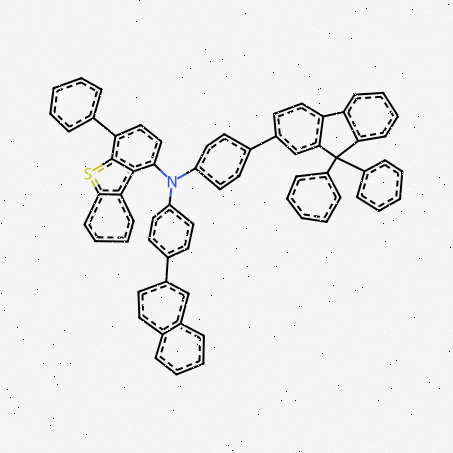 c1ccc(-c2ccc(N(c3ccc(-c4ccc5c(c4)C(c4ccccc4)(c4ccccc4)c4ccccc4-5)cc3)c3ccc(-c4ccc5ccccc5c4)cc3)c3c2sc2ccccc23)cc1